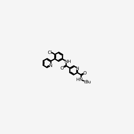 CC(C)(C)NC(=O)c1ccc(C(=O)Nc2ccc(Cl)c(-c3ccccn3)c2)cn1